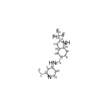 CCc1cc(NCc2ccc3[nH]c(C(F)(F)F)cc3c2)ccn1